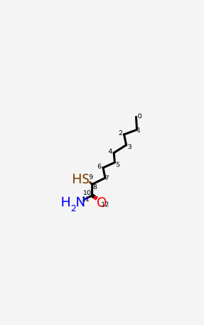 CCCCCCCCC(S)C(N)=O